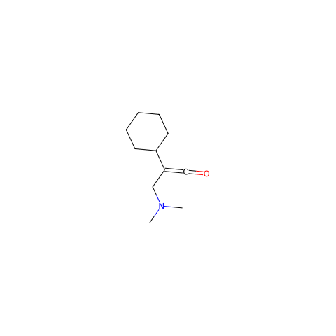 CN(C)CC(=C=O)C1CCCCC1